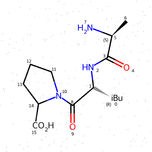 CC[C@@H](C)C(NC(=O)[C@H](C)N)C(=O)N1CCCC1C(=O)O